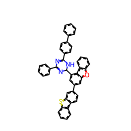 c1ccc(C2=NC(c3cc(-c4ccc5c(c4)sc4ccccc45)cc4oc5ccccc5c34)NC(c3ccc(-c4ccccc4)cc3)=N2)cc1